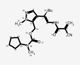 C=C(C#N)C(=O)N/C=C(/c1cnn(C)c1COC(=O)N(C)C1CCCC1)[C@H](C)CC